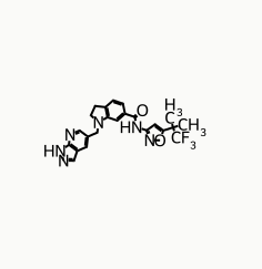 CC(C)(c1cc(NC(=O)c2ccc3c(c2)N(Cc2cnc4[nH]ncc4c2)CC3)no1)C(F)(F)F